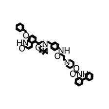 CC(C)(C)[Si](C)(C)OC(CNCc1ccc(NC(=O)CCN2CCC(OC(=O)Nc3ccccc3-c3ccccc3)CC2)cc1)c1ccc(OCc2ccccc2)c2[nH]c(=O)ccc12